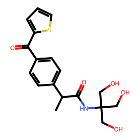 CC(C(=O)NC(CO)(CO)CO)c1ccc(C(=O)c2cccs2)cc1